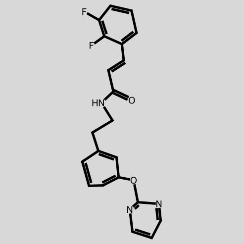 O=C(C=Cc1cccc(F)c1F)NCCc1cccc(Oc2ncccn2)c1